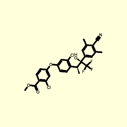 COC(=O)c1ccc(Oc2ccc([C@H](C)[C@](O)(c3cc(C)c(C#N)c(C)c3)C(F)(F)F)c(Cl)c2)cc1Cl